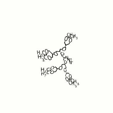 CC1(C)OCC(OCC(COC2COC(C)(C)OC2)OCC(COC(COC2COC(C)(C)OC2)COC2COC(C)(C)OC2)N=[N+]=[N-])CO1